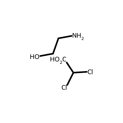 NCCO.O=C(O)C(Cl)Cl